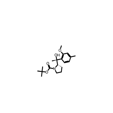 COc1cc(C)ccc1[C@@](C)(O)[C@@H]1CCCN1C(=O)OC(C)(C)C